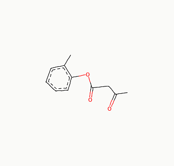 CC(=O)CC(=O)Oc1ccccc1C